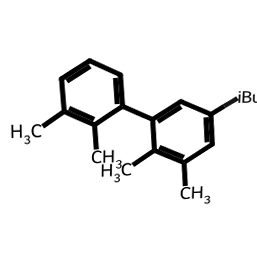 CCC(C)c1cc(C)c(C)c(-c2cccc(C)c2C)c1